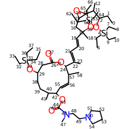 CCC(O[Si](CC)(CC)CC)C(C)C1OC1CC(C)(/C=C/C=C(\C)C1OC(=O)CC(O[Si](CC)(CC)CC)CCC(C)C(OC(=O)N(C)CCN2CCCC2)/C=C/C1C)O[Si](CC)(CC)CC